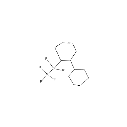 FC(F)(F)C(F)(F)C1CCCCC1C1CCCCC1